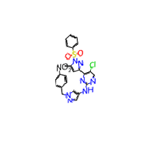 Cc1cc(-c2nc(Nc3cnn(Cc4ccc([N+](=O)[O-])cc4)c3)ncc2Cl)nn1S(=O)(=O)c1ccccc1